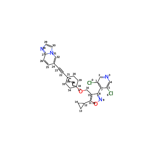 Clc1cncc(Cl)c1-c1noc(C2CC2)c1COC12CCC(C#Cc3ccc4nccn4c3)(CC1)CC2